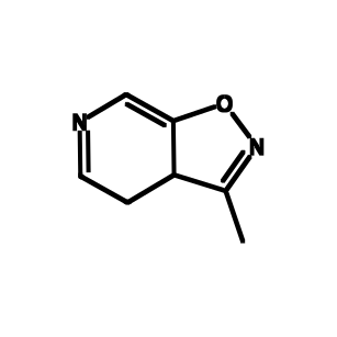 CC1=NOC2=CN=CCC21